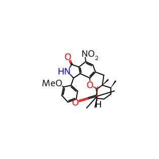 COc1ccccc1C1NC(=O)c2c([N+](=O)[O-])cc3c(c21)O[C@@]12CCC(=O)C(C)(C)[C@@H]1CC[C@H](C)[C@@]2(C)C3